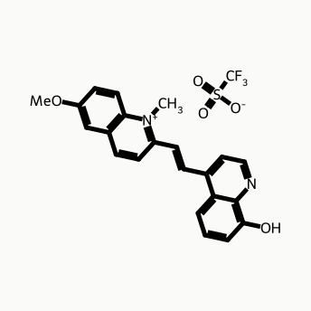 COc1ccc2c(ccc(C=Cc3ccnc4c(O)cccc34)[n+]2C)c1.O=S(=O)([O-])C(F)(F)F